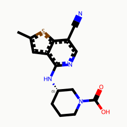 Cc1cc2c(N[C@H]3CCCN(C(=O)O)C3)ncc(C#N)c2s1